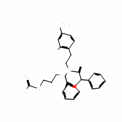 COc1ccc(CCN(C(=O)C(c2ccccc2)c2ccccc2)[C@H](CCCNC(=N)N)C(N)=O)c(O)c1